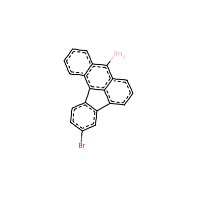 Bc1c2ccccc2c2c3c(cccc13)-c1cc(Br)ccc1-2